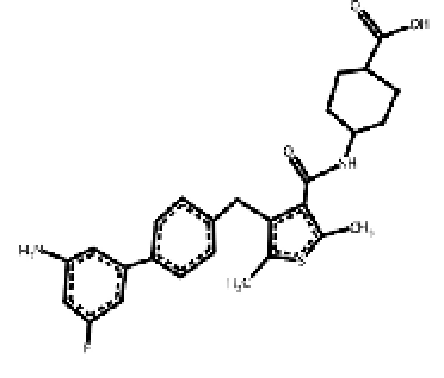 Cc1sc(C)c(C(=O)NC2CCC(C(=O)O)CC2)c1Cc1ccc(-c2cc(N)cc(F)c2)cc1